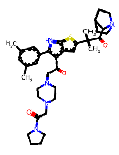 Cc1cc(C)cc(-c2[nH]c3sc(C(C)(C)C(=O)C4C5CCN4CC5)cc3c2C(=O)CN2CCN(CC(=O)N3CCCC3)CC2)c1